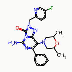 CC1CN(c2c(-c3ccccc3)nc(N)n3c(=O)n(Cc4ccc(F)cn4)nc23)CC(C)O1